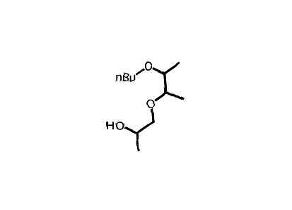 CCCCOC(C)C(C)OCC(C)O